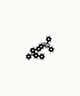 c1ccc(C2=NC(c3ccccc3)NC(c3ccc4cc(-c5cccc6c5c5cc(-c7ccccc7)ccc5n6-c5ccccc5)ccc4c3)=N2)cc1